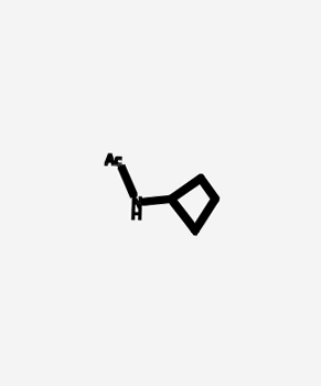 [CH2]C(=O)NC1CCC1